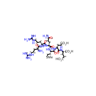 CSCC[C@H](NC(=O)[C@H](CCC(N)=O)NC(=O)[C@H](CCCNC(=N)N)NC(=O)[C@@H](N)CCCNC(=N)N)C(=O)N[C@@H](CCC(=O)O)C(=O)N[C@@H](CCC(=O)O)C(=O)O